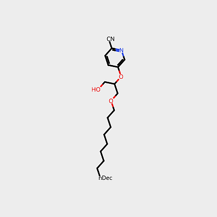 CCCCCCCCCCCCCCCCCCOCC(CO)Oc1ccc(C#N)nc1